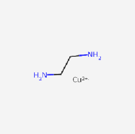 NCCN.[Cu+2]